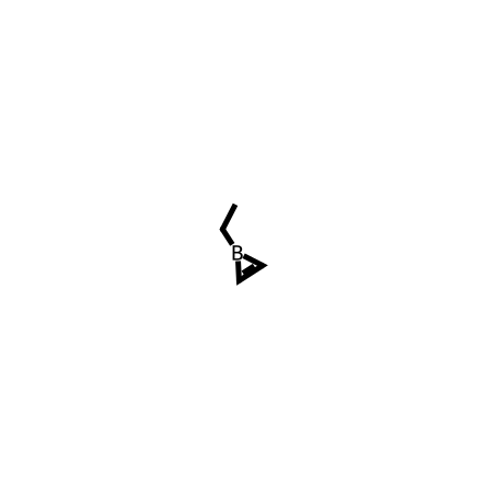 CCB1C=C1